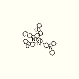 c1ccc(-n2c3ccccc3c3cc(-c4nc(-c5ccc6c(c5)oc5ccccc56)nc(-c5ccc6oc7ccccc7c6c5-n5c6ccccc6c6cc7ccccc7cc65)n4)ccc32)cc1